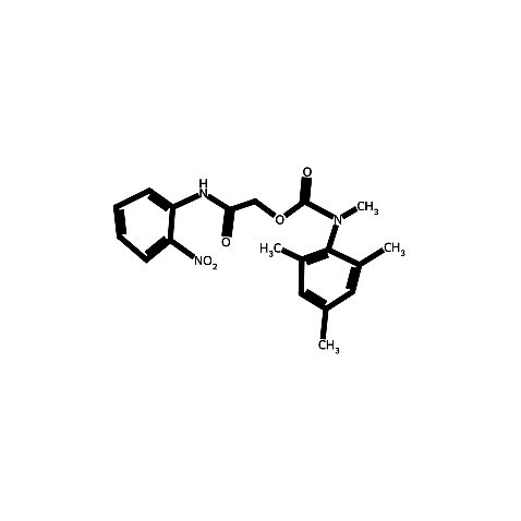 Cc1cc(C)c(N(C)C(=O)OCC(=O)Nc2ccccc2[N+](=O)[O-])c(C)c1